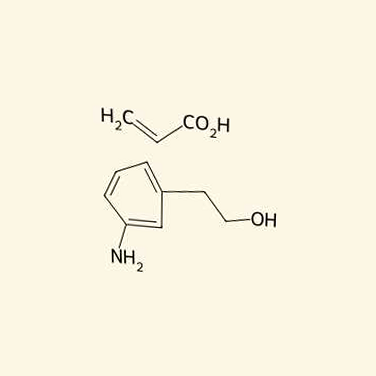 C=CC(=O)O.Nc1cccc(CCO)c1